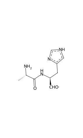 C[C@H](N)C(=O)N[C@H]([C]=O)Cc1c[nH]cn1